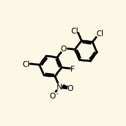 O=[N+]([O-])c1cc(Cl)cc(Oc2cccc(Cl)c2Cl)c1F